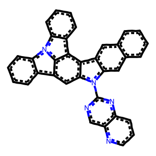 c1ccc2cc3c(cc2c1)c1c2c4ccccc4n4c5ccccc5c(cc1n3-c1ncc3ncccc3n1)c24